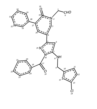 O=CCn1cc(-c2cc(NCc3ccc(Cl)s3)n(C(=O)c3ccccc3)n2)cc(-c2cccnc2)c1=O